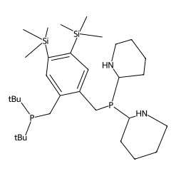 CC(C)(C)P(Cc1cc([Si](C)(C)C)c([Si](C)(C)C)cc1CP(C1CCCCN1)C1CCCCN1)C(C)(C)C